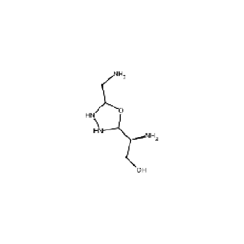 NCC1NNC([C@@H](N)CO)O1